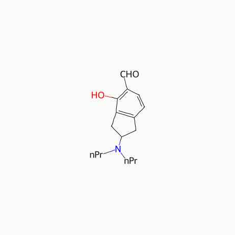 CCCN(CCC)C1Cc2ccc(C=O)c(O)c2C1